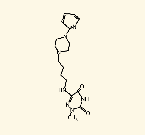 Cn1nc(NCCCCN2CCN(c3ncccn3)CC2)c(=O)[nH]c1=O